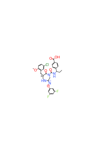 CCC(NC(=O)N1C/C(=N/Oc2cc(F)cc(F)c2)NC[C@@H](Cc2cc(Cl)ccc2OC)C1=O)c1ccc(C(=O)O)cc1